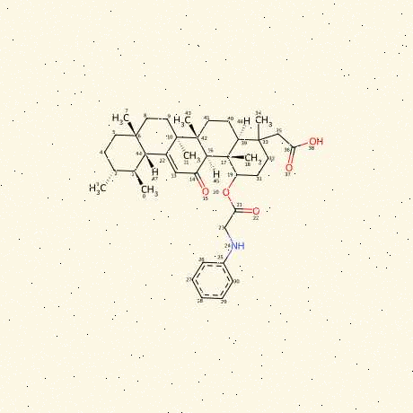 C[C@H]1[C@H](C)CC[C@]2(C)CC[C@]3(C)C(=CC(=O)[C@@H]4[C@@]5(C)C(OC(=O)CNc6ccccc6)CCC(C)(CC(=O)O)[C@@H]5CC[C@]43C)[C@H]12